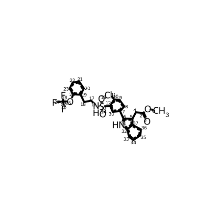 COC(=O)Cc1c(-c2ccc(Cl)c(S(=O)(=O)NCCc3ccccc3OC(F)(F)F)c2)[nH]c2ccccc12